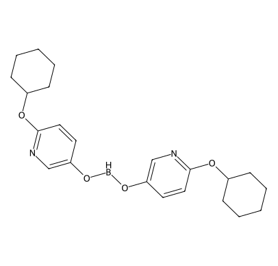 B(Oc1ccc(OC2CCCCC2)nc1)Oc1ccc(OC2CCCCC2)nc1